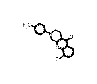 O=c1c2c(oc3c(Cl)cccc13)CN(c1ccc(C(F)(F)F)cc1)CC2